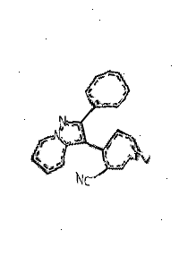 N#Cc1cnccc1-c1c(-c2ccccc2)nn2ccccc12